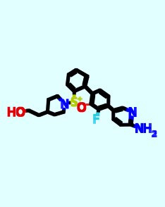 Nc1ccc(-c2ccc(-c3ccccc3[S+]([O-])N3CCC(CCO)CC3)cc2F)cn1